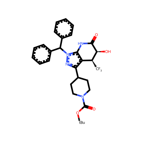 CC(C)(C)OC(=O)N1CCC(c2nn(C(c3ccccc3)c3ccccc3)c3c2[C@H](C(F)(F)F)[C@H](O)C(=O)N3)CC1